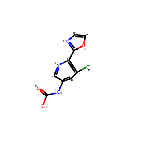 O=C(O)Nc1cnc(-c2ncco2)c(Cl)c1